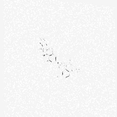 COc1ccc(F)c(CNc2cc(F)c(S(=O)(=O)Nc3cscn3)c(F)c2)c1CN(C)C